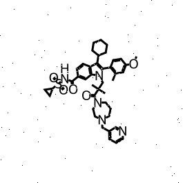 COc1ccc(-c2c(C3CCCCC3)c3ccc(C(=O)NS(=O)(=O)C4CC4)cc3n2CC(C)(C)C(=O)N2CCCN(Cc3cccnc3)CC2)c(C)c1